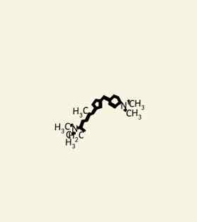 C=C\C(=C/C=C(C)/C=C1C=C(/C=C2\C=CC(=[N+](CC)CC)CC2)CC/1)N(CC)CC